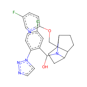 OC(c1cc(Cl)ccc1-n1ccnn1)N1C2CCC3(COc4ccc(F)cn4)C2CCC13